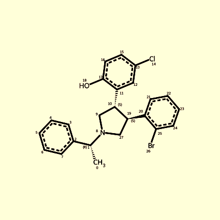 C[C@H](c1ccccc1)N1C[C@H](c2cc(Cl)ccc2O)[C@@H](c2ccccc2Br)C1